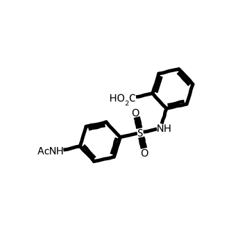 CC(=O)Nc1ccc(S(=O)(=O)Nc2ccccc2C(=O)O)cc1